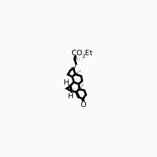 CCOC(=O)/C=C/C[C@H]1CCC2C3C(CC[C@@]21C)[C@@]1(C)CCC(=O)C=C1[C@H]1C[C@@H]31